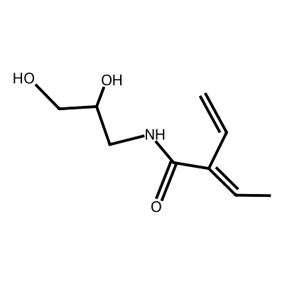 C=C/C(=C\C)C(=O)NCC(O)CO